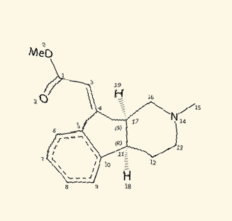 COC(=O)C=C1c2ccccc2[C@@H]2CCN(C)C[C@H]12